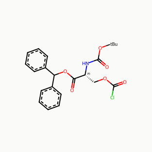 CC(C)(C)OC(=O)N[C@H](COC(=O)Cl)C(=O)OC(c1ccccc1)c1ccccc1